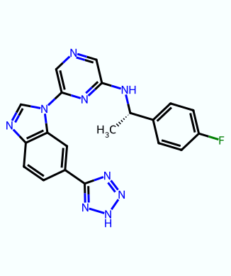 C[C@H](Nc1cncc(-n2cnc3ccc(-c4nn[nH]n4)cc32)n1)c1ccc(F)cc1